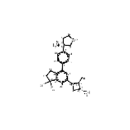 C[C@H]1[C@H](O)CN1c1nc(-c2ccc([C@@]3(N)CCOC3)cc2)c2c(n1)C(F)(F)CC2